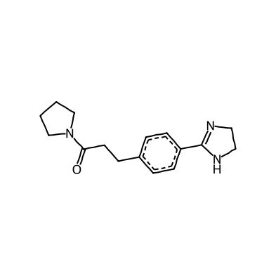 O=C(CCc1ccc(C2=NCCN2)cc1)N1CCCC1